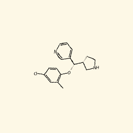 Cc1cc(Cl)ccc1O[C@H](c1cccnc1)[C@@H]1CCNC1